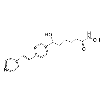 O=C(CCCCC(O)c1ccc(/C=C/c2ccncc2)cc1)NO